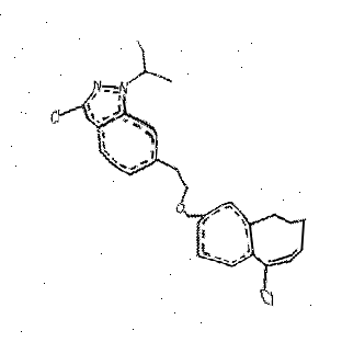 CC(C)n1nc(Cl)c2ccc(COc3ccc4c(c3)CCC=C4Cl)cc21